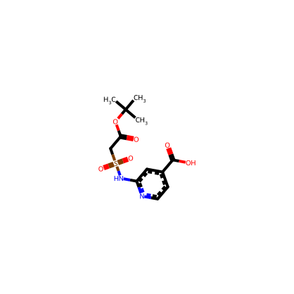 CC(C)(C)OC(=O)CS(=O)(=O)Nc1cc(C(=O)O)ccn1